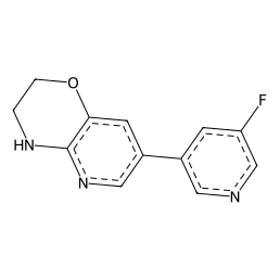 Fc1cncc(-c2cnc3c(c2)OCCN3)c1